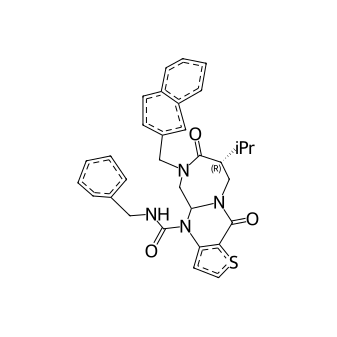 CC(C)[C@@H]1CN2C(=O)c3sccc3N(C(=O)NCc3ccccc3)C2CN(Cc2ccc3ccccc3c2)C1=O